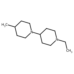 CCN1CCC(N2CCC(C)CC2)CC1